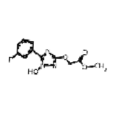 COC(=O)COc1nc(-c2cccc(F)c2)n(O)n1